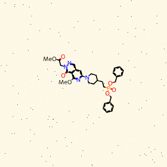 COC(=O)Cn1ncc2cc(N3CCC(CCP(=O)(OCc4ccccc4)OCc4ccccc4)CC3)nc(OC)c2c1=O